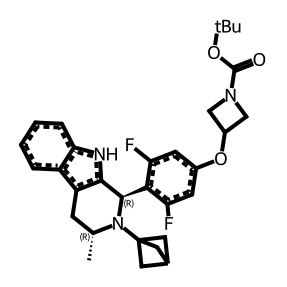 C[C@@H]1Cc2c([nH]c3ccccc23)[C@@H](c2c(F)cc(OC3CN(C(=O)OC(C)(C)C)C3)cc2F)N1C12CC(C1)C2